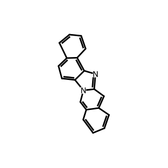 c1ccc2cn3c(cc2c1)nc1c2ccccc2ccc13